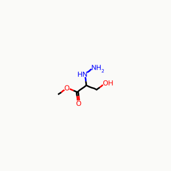 COC(=O)C(CO)NN